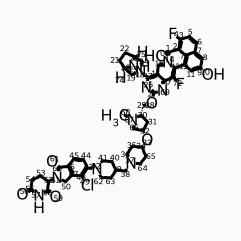 C#Cc1c(F)ccc2cc(O)cc(-c3ncc4c(N5C[C@H]6CC[C@@H](C5)N6)nc(OC[C@@H]5C[C@@H](OC6CCN(CC7CCN(c8ccc9c(c8Cl)CN(C8CCC(=O)NC8=O)C9=O)CC7)CC6)CN5C)nc4c3F)c12